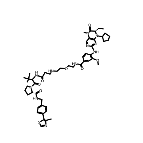 CC[C@@H]1C(=O)N(C)c2cnc(Nc3ccc(C(=O)NCCOCCNCCC(=O)NC(C(=O)N4CCC[C@H]4C(=O)NCc4ccc(-c5scnc5C)cc4)C(C)(C)C)cc3OC)nc2N1C1CCCC1